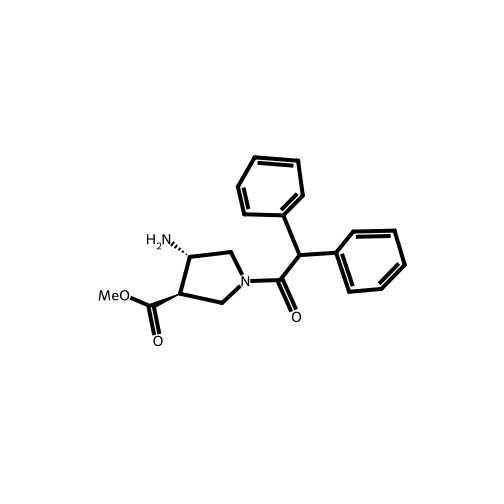 COC(=O)[C@@H]1CN(C(=O)C(c2ccccc2)c2ccccc2)C[C@H]1N